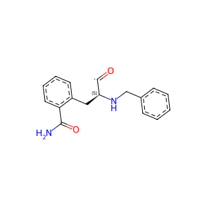 NC(=O)c1ccccc1C[C@@H]([C]=O)NCc1ccccc1